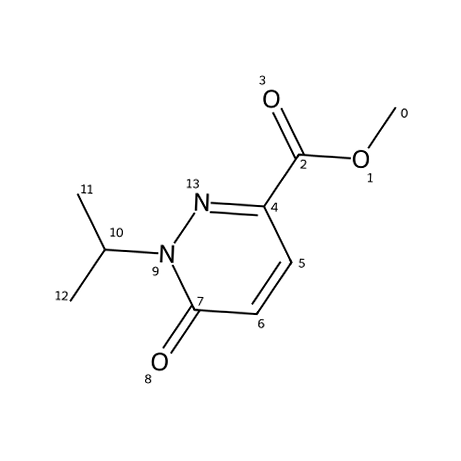 COC(=O)c1ccc(=O)n(C(C)C)n1